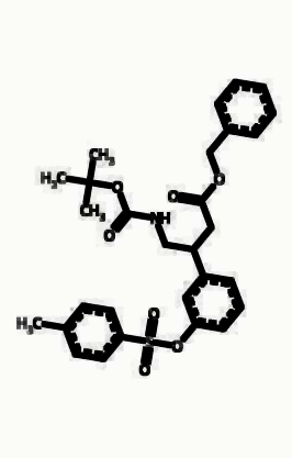 Cc1ccc(S(=O)(=O)Oc2cccc(C(CNC(=O)OC(C)(C)C)CC(=O)OCc3ccccc3)c2)cc1